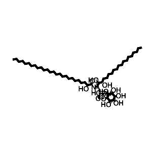 CCCCCCCCCCCCCCCCCCCCCCCCC(O)C(=O)N[C@@H](COP(=O)(O)OC1[C@H](O)[C@H](O)C(O)[C@H](O)[C@H]1O)[C@H](O)C(O)CCCCCCCCCCCCCCCC